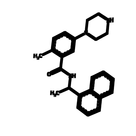 Cc1ccc(N2CCNCC2)cc1C(=O)NC(C)c1cccc2ccccc12